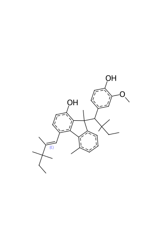 CCC(C)(C)/C(C)=C/c1ccc(O)c2c1-c1c(C)cccc1C2(C)C(c1ccc(O)c(OC)c1)C(C)(C)CC